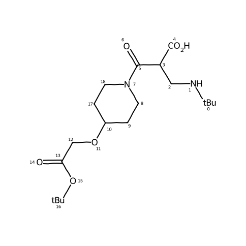 CC(C)(C)NCC(C(=O)O)C(=O)N1CCC(OCC(=O)OC(C)(C)C)CC1